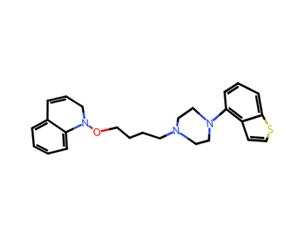 C1=Cc2ccccc2N(OCCCCN2CCN(c3cccc4sccc34)CC2)C1